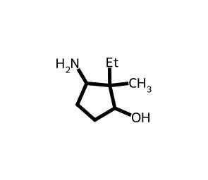 CCC1(C)C(N)CCC1O